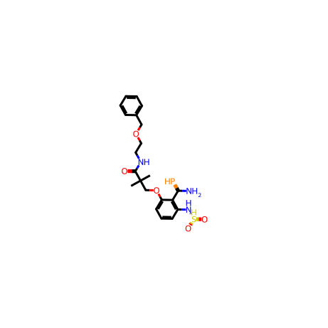 CC(C)(COc1cccc(N[SH](=O)=O)c1C(N)=P)C(=O)NCCOCc1ccccc1